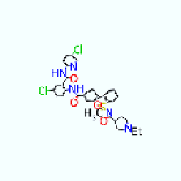 CCN1CCC(C(=O)N=S(C)(=O)c2ccccc2-c2ccc(C(=O)Nc3ccc(Cl)cc3C(=O)Nc3ccc(Cl)cn3)cc2)CC1